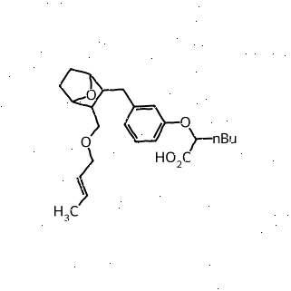 C/C=C/COCC1C2CCC(O2)C1Cc1cccc(OC(CCCC)C(=O)O)c1